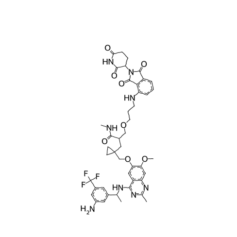 CNC(=O)C(COCCCNc1cccc2c1C(=O)N(C1CCC(=O)NC1=O)C2=O)CC1(COc2cc3c(NC(C)c4cc(N)cc(C(F)(F)F)c4)nc(C)nc3cc2OC)CC1